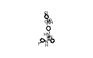 O=S(=O)(NC[C@H]1CC[C@H](CNc2nc(Nc3cccc(F)c3)c3ccccc3n2)CC1)c1ccc(Cl)cc1